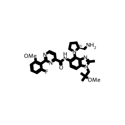 COc1cccc(F)c1-c1nccc(C(=O)Nc2ccc3c(nc(C)n3CC(C)(C)OC)c2N2CCC[C@H]2CN)n1